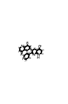 Cc1ccnc2c(F)cc(-c3cc4c(=O)cc[nH]c4nc3-c3ccncc3)cc12